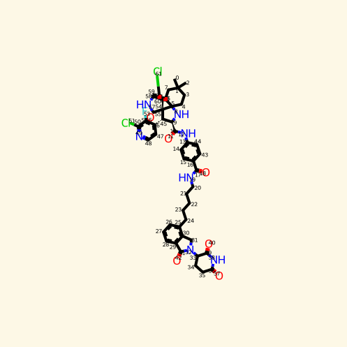 CC1(C)CCC2(CC1)N[C@@H](C(=O)Nc1ccc(C(=O)NCCCCCc3cccc4c3CN(C3CCC(=O)NC3=O)C4=O)cc1)[C@H](c1ccnc(Cl)c1F)[C@]21C(=O)Nc2cc(Cl)ccc21